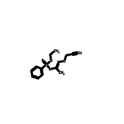 C#CCON=C(C)OP(=S)(OCC)c1ccccc1